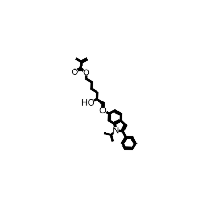 C=C(C)C(=O)OCCCCC(O)COc1ccc2cc(-c3ccccc3)n(C(C)C)c2c1